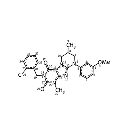 COc1cccc(N2CC(C)Cn3c2nc2c3c(=O)n(Cc3ccccc3Cl)c(=O)n2C)c1